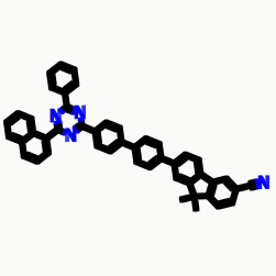 CC1(C)c2ccc(C#N)cc2-c2ccc(-c3ccc(-c4ccc(-c5nc(-c6ccccc6)nc(-c6cccc7ccccc67)n5)cc4)cc3)cc21